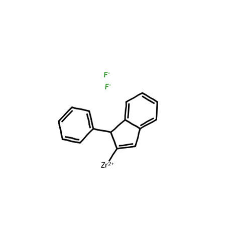 [F-].[F-].[Zr+2][C]1=Cc2ccccc2C1c1ccccc1